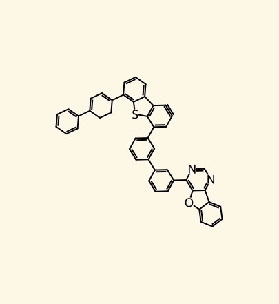 c1cc(-c2cccc(-c3cccc(-c4ncnc5c4oc4ccccc45)c3)c2)c2sc3c(C4=CC=C(c5ccccc5)CC4)cccc3c2c#1